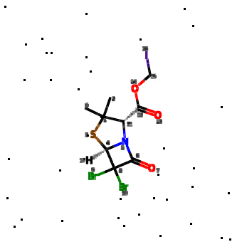 CC1(C)S[C@H]2N(C(=O)C2(Br)Br)[C@H]1C(=O)OCI